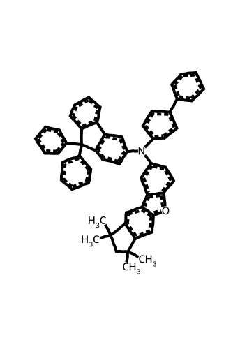 CC1(C)CC(C)(C)c2cc3c(cc21)oc1ccc(N(c2ccc(-c4ccccc4)cc2)c2ccc4c(c2)-c2ccccc2C4(c2ccccc2)c2ccccc2)cc13